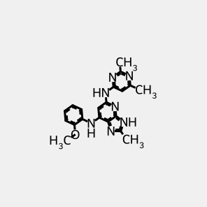 COc1ccccc1Nc1cc(Nc2cc(C)nc(C)n2)nc2[nH]c(C)nc12